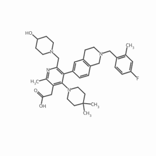 Cc1cc(F)ccc1CN1CCc2cc(-c3c(CN4CCC(O)CC4)nc(C)c(CC(=O)O)c3N3CCC(C)(C)CC3)ccc2C1